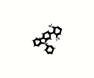 N#Cc1cccc(C#N)c1-c1ccc2c3ccccc3n(-c3ccccc3)c2c1